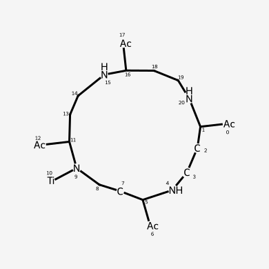 CC(=O)C1CCNC(C(C)=O)CC[N]([Ti])C(C(C)=O)CCNC(C(C)=O)CCN1